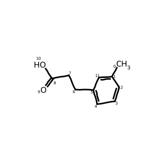 Cc1[c]ccc(CCC(=O)O)c1